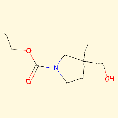 CCOC(=O)N1CCC(C)(CO)C1